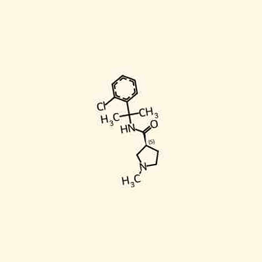 CN1CC[C@H](C(=O)NC(C)(C)c2ccccc2Cl)C1